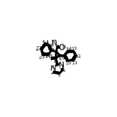 CC1(c2ncccn2)C(c2ccccc2)C1(C(N)=O)c1ccccc1